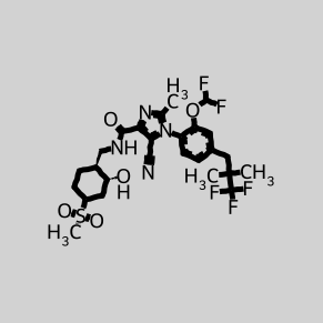 Cc1nc(C(=O)NC[C@@H]2CCC(S(C)(=O)=O)C[C@H]2O)c(C#N)n1-c1ccc(CC(C)(C)C(F)(F)F)cc1OC(F)F